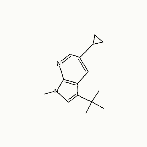 Cn1cc(C(C)(C)C)c2cc(C3CC3)cnc21